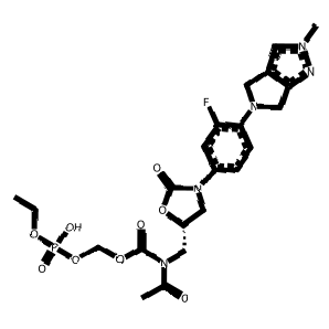 CCOP(=O)(O)OCOC(=O)N(C[C@H]1CN(c2ccc(N3Cc4cn(C)nc4C3)c(F)c2)C(=O)O1)C(C)=O